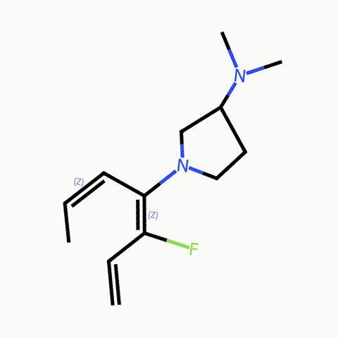 C=C/C(F)=C(\C=C/C)N1CCC(N(C)C)C1